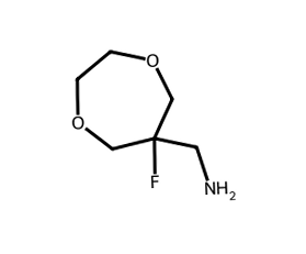 NCC1(F)COCCOC1